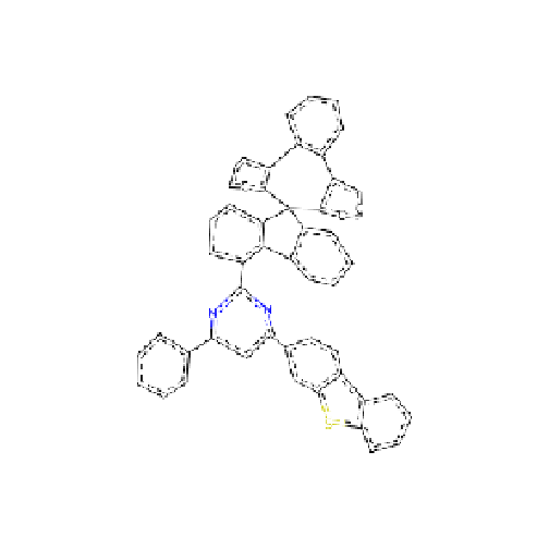 c1ccc(-c2cc(-c3ccc4c(c3)sc3ccccc34)nc(-c3cccc4c3-c3ccccc3C43c4ccccc4-c4ccccc4-c4ccccc43)n2)cc1